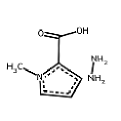 Cn1cccc1C(=O)O.NN